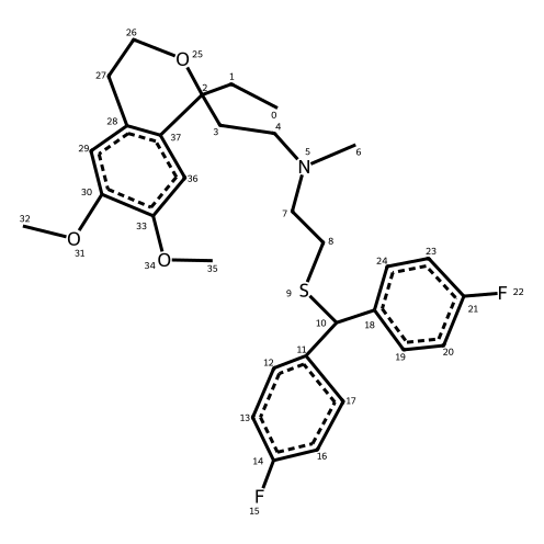 CCC1(CCN(C)CCSC(c2ccc(F)cc2)c2ccc(F)cc2)OCCc2cc(OC)c(OC)cc21